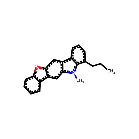 CCCc1cccc2c3cc4oc5ccccc5c4cc3n(C)c12